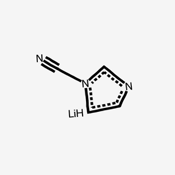 N#Cn1ccnc1.[LiH]